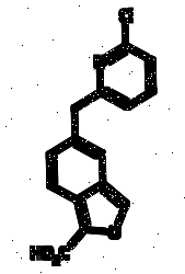 O=C(O)c1occ2cc(Cc3cccc(Cl)n3)ccc12